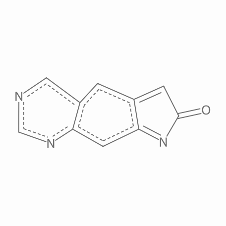 O=C1C=c2cc3cncnc3cc2=N1